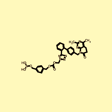 Cc1nc(C)c2c(n1)N(Cc1ccc(-c3ccccc3-c3nnn(COC(=O)OCc4ccc(CON(O)O)cc4)n3)cc1)C(=O)CC2